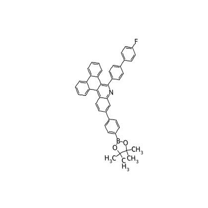 CC1(C)OB(c2ccc(-c3ccc4c(c3)nc(-c3ccc(-c5ccc(F)cc5)cc3)c3c5ccccc5c5ccccc5c43)cc2)OC1(C)C